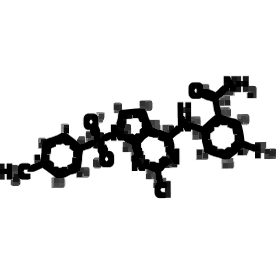 Cc1ccc(S(=O)(=O)n2ccc3c(Nc4ccc(F)cc4C(N)=O)nc(Cl)nc32)cc1